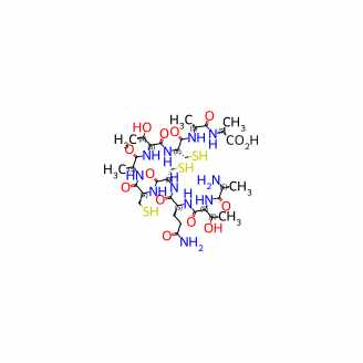 C[C@H](N)C(=O)N[C@H](C(=O)N[C@@H](CCC(N)=O)C(=O)N[C@@H](CS)C(=O)N[C@@H](CS)C(=O)N[C@@H](C)C(=O)N[C@H](C(=O)N[C@@H](CS)C(=O)N[C@@H](C)C(=O)N[C@@H](C)C(=O)O)[C@@H](C)O)[C@@H](C)O